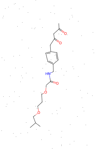 CC(=O)CC(=O)Cc1ccc(CNC(=O)COCCCOCC(C)C)cc1